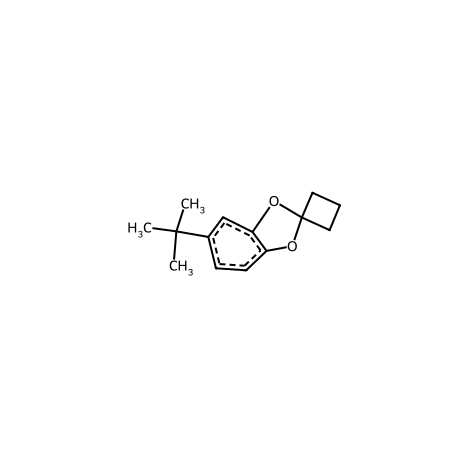 CC(C)(C)c1ccc2c(c1)OC1(CCC1)O2